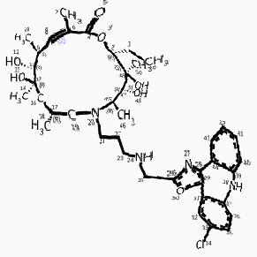 CC[C@H]1OC(=O)/C(C)=C\[C@H](C)[C@@H](O)[C@](C)(O)C[C@@H](C)CN(CCCNCc2nc3c(o2)-c2cc(Cl)ccc2Nc2ccccc2-3)[C@H](C)[C@@H](O)[C@]1(C)O